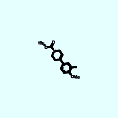 COc1ccc(C2=CCN(C(=O)OC(C)(C)C)CC2)cc1C